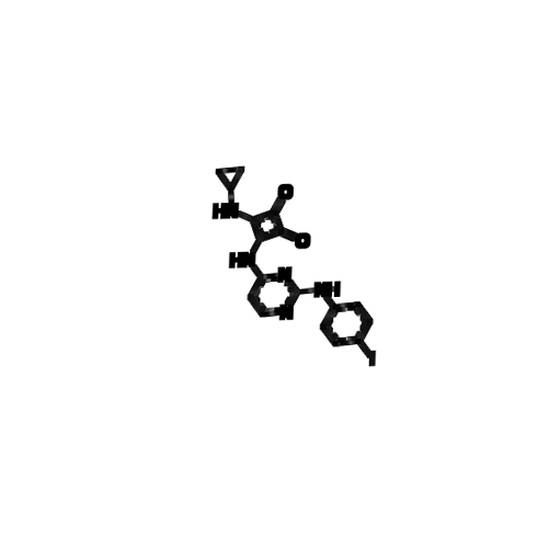 O=c1c(Nc2ccnc(Nc3ccc(I)cc3)n2)c(NC2CC2)c1=O